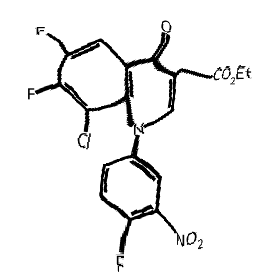 CCOC(=O)c1cn(-c2ccc(F)c([N+](=O)[O-])c2)c2c(Cl)c(F)c(F)cc2c1=O